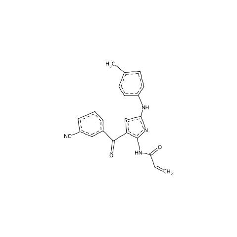 C=CC(=O)Nc1nc(Nc2ccc(C)cc2)sc1C(=O)c1cccc(C#N)c1